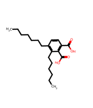 CCCCCCCc1ccc(C(=O)O)c(C(=O)O)c1CCCCCC